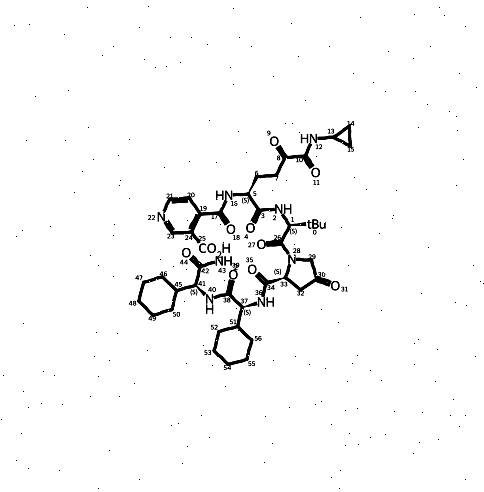 CC(C)(C)[C@H](NC(=O)[C@H](CCC(=O)C(=O)NC1CC1)NC(=O)c1ccncc1C(=O)O)C(=O)N1CC(=O)C[C@H]1C(=O)N[C@H](C(=O)N[C@H](C(N)=O)C1CCCCC1)C1CCCCC1